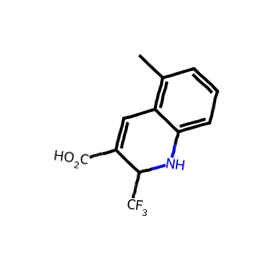 Cc1cccc2c1C=C(C(=O)O)C(C(F)(F)F)N2